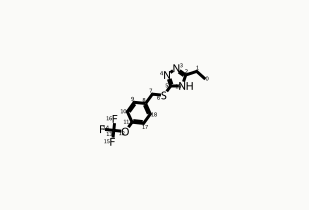 CCc1nnc(SCc2ccc(OC(F)(F)F)cc2)[nH]1